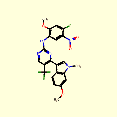 COc1ccc2c(-c3nc(Nc4cc([N+](=O)[O-])c(F)cc4OC)ncc3C(F)(F)F)cn(C)c2c1